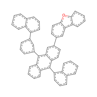 c1cc(-c2cccc3ccccc23)cc(-c2c3ccccc3c(-c3cccc4ccccc34)c3ccc(-c4ccc5oc6ccccc6c5c4)cc23)c1